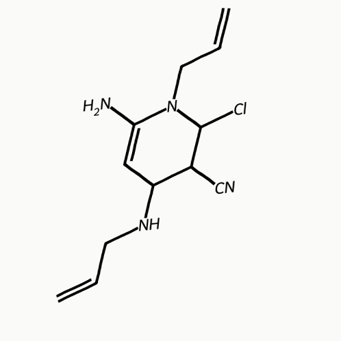 C=CCNC1C=C(N)N(CC=C)C(Cl)C1C#N